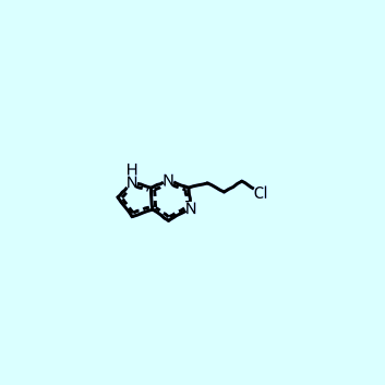 ClCCCc1ncc2cc[nH]c2n1